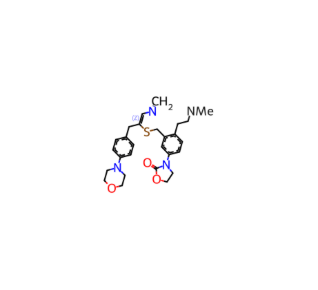 C=N/C=C(/Cc1ccc(N2CCOCC2)cc1)SCc1cc(N2CCOC2=O)ccc1CCNC